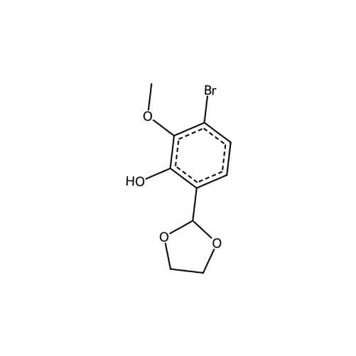 COc1c(Br)ccc(C2OCCO2)c1O